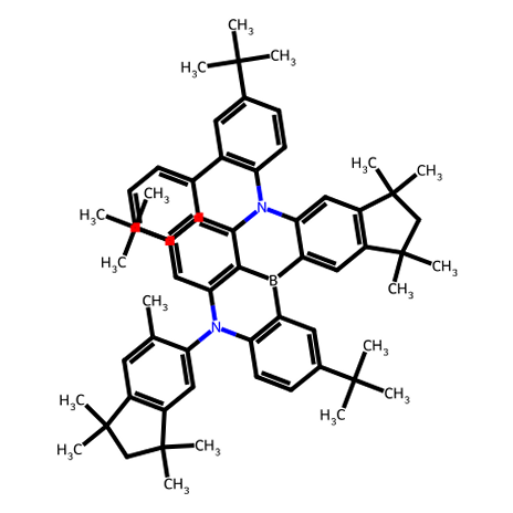 Cc1cc2c(cc1N1c3ccc(C(C)(C)C)cc3B3c4cc5c(cc4N(c4ccc(C(C)(C)C)cc4-c4ccccc4)c4cc(C(C)(C)C)cc1c43)C(C)(C)CC5(C)C)C(C)(C)CC2(C)C